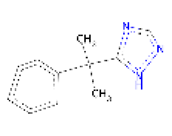 CC(C)(c1ccccc1)c1ncn[nH]1